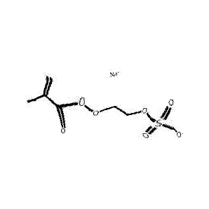 C=C(C)C(=O)OOCCOS(=O)(=O)[O-].[Na+]